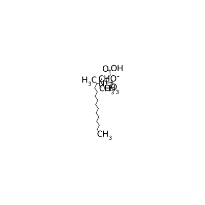 CCCCCCCCCCCCC(C)[N+](C)(C)C(C)(CCC(=O)O)C(=O)[O-]